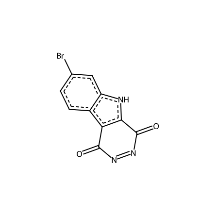 O=C1N=NC(=O)c2c1[nH]c1cc(Br)ccc21